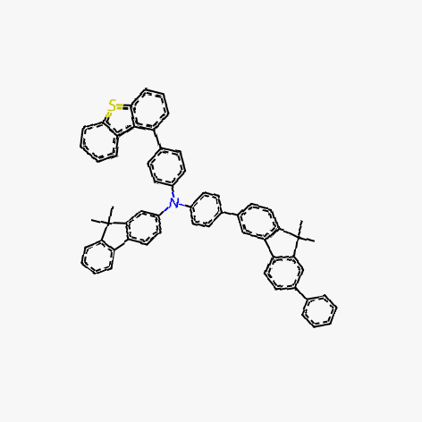 CC1(C)c2ccc(-c3ccc(N(c4ccc(-c5cccc6sc7ccccc7c56)cc4)c4ccc5c(c4)C(C)(C)c4ccccc4-5)cc3)cc2-c2ccc(-c3ccccc3)cc21